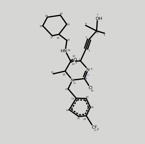 CC(C#CC(C)(C)O)/N=C(/Cl)N(Cc1ccc(C(F)(F)F)cc1)C(C)C(=O)NCC1CCCCC1